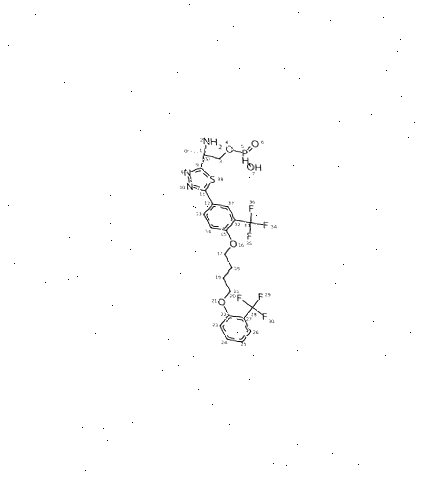 C[C@](N)(CO[PH](=O)O)c1nnc(-c2ccc(OCCCCOc3ccccc3C(F)(F)F)c(C(F)(F)F)c2)s1